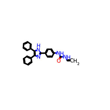 C=CNC(=O)Nc1ccc(-c2nc(-c3ccccc3)c(-c3ccccc3)[nH]2)cc1